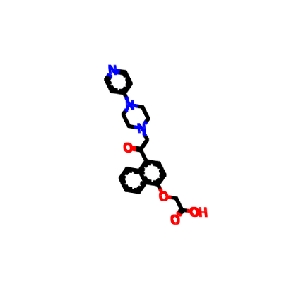 O=C(O)COc1ccc(C(=O)CN2CCN(c3ccncc3)CC2)c2ccccc12